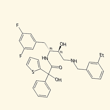 CCc1cccc(CNC[C@H](O)[C@@H](Cc2cc(F)cc(F)c2)NC(=O)C(O)(c2ccccc2)c2cccs2)c1